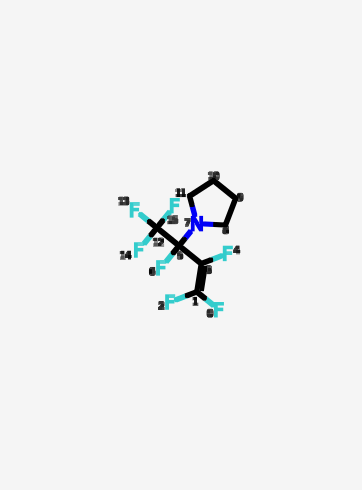 FC(F)=C(F)C(F)(N1CCCC1)C(F)(F)F